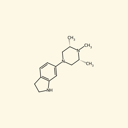 C[C@@H]1CN(c2ccc3c(c2)NCC3)C[C@H](C)N1C